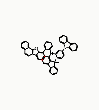 CC1(C)c2ccccc2-c2cccc(N(c3cccc(-n4c5ccccc5c5ccccc54)c3)c3ccccc3-c3cccc4c3oc3c5ccccc5ccc43)c21